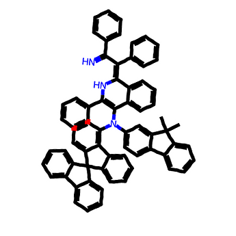 CC1(C)c2ccccc2-c2ccc(N(C3=C(c4ccccc4)N/C(=C(\C(=N)c4ccccc4)c4ccccc4)c4ccccc43)c3cccc4c3-c3ccccc3C43c4ccccc4-c4ccccc43)cc21